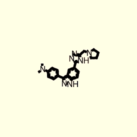 CN(C)c1ccc(-c2n[nH]c3ccc(-c4nnc(CN5CCCC5)[nH]4)cc23)cc1